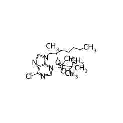 CCCCC[C@@H](O[Si](C)(C)C(C)(C)C)[C@@H](C)n1cnc2c(Cl)ncnc21